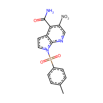 Cc1ccc(S(=O)(=O)n2ccc3c(C(N)=O)c([N+](=O)[O-])cnc32)cc1